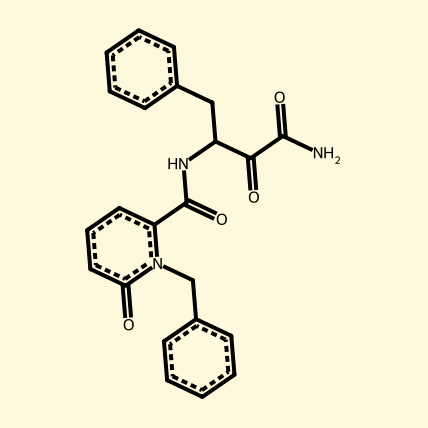 NC(=O)C(=O)C(Cc1ccccc1)NC(=O)c1cccc(=O)n1Cc1ccccc1